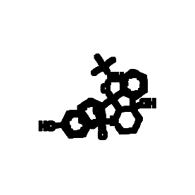 CC(C)(C)[SiH2]OC(c1ccccc1)(c1ccccc1)C1N(S(=O)(=O)c2ccc(O)cc2)CCCC1(C)O